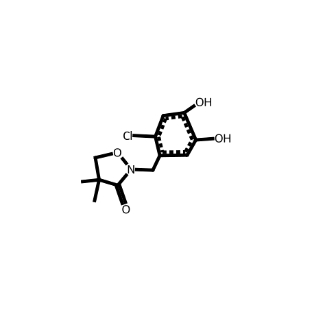 CC1(C)CON(Cc2cc(O)c(O)cc2Cl)C1=O